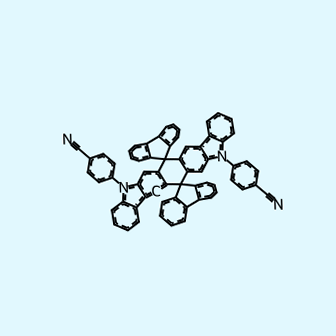 N#Cc1ccc(-n2c3ccccc3c3cc4c(cc32)C2(c3ccccc3-c3ccccc32)c2cc3c5ccccc5n(-c5ccc(C#N)cc5)c3cc2C42c3ccccc3-c3ccccc32)cc1